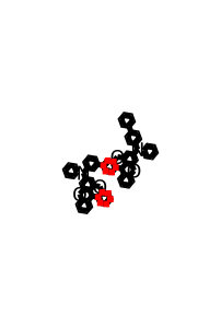 c1ccc(-c2ccc(N(c3ccccc3)c3cc4c5c(c3)Oc3cc(-c6cccc(N(c7ccccc7)c7cc8c9c(c7)Oc7ccccc7C9(c7ccccc7)c7ccccc7O8)c6)ccc3C5(c3ccccc3)c3ccccc3O4)cc2)cc1